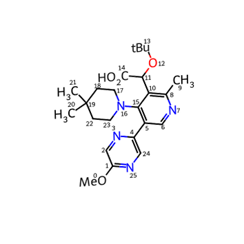 COc1cnc(-c2cnc(C)c(C(OC(C)(C)C)C(=O)O)c2N2CCC(C)(C)CC2)cn1